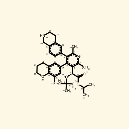 Cc1nc(C)c([C@H](OC(C)(C)C)C(=O)OC(C)C)c(-c2cc(F)c3c(c2)CCCO3)c1-c1ccc2c(c1)CCNC2